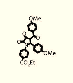 CCOC(=O)c1ccc(N2C(=O)C(=O)C(C(=O)c3ccc(OC)cc3)C2c2ccc(OC)cc2)cc1